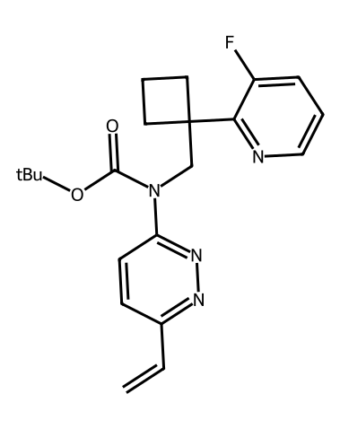 C=Cc1ccc(N(CC2(c3ncccc3F)CCC2)C(=O)OC(C)(C)C)nn1